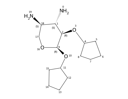 N[C@@H]1[C@@H](OC2CCCC2)[C@@H](OC2CCCC2)OC[C@H]1N